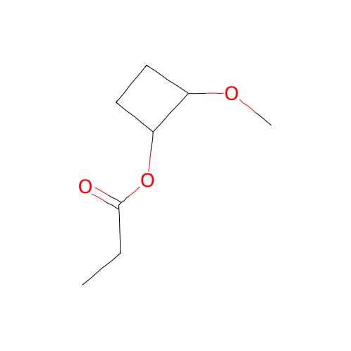 CCC(=O)OC1CCC1OC